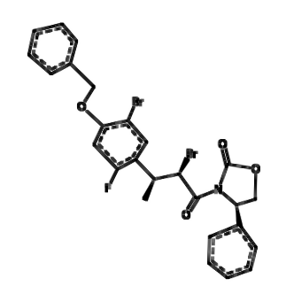 C[C@@H](c1cc(Br)c(OCc2ccccc2)cc1F)[C@@H](Br)C(=O)N1C(=O)OC[C@H]1c1ccccc1